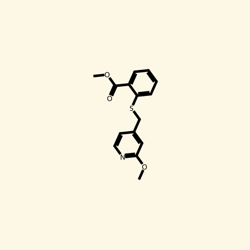 COC(=O)c1ccccc1SCc1ccnc(OC)c1